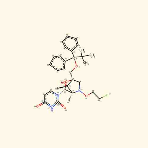 CC(C)(C)[Si](OC[C@@]12CN(OCCF)[C@@H]([C@H](n3ccc(=O)[nH]c3=O)O1)[C@@H]2O)(c1ccccc1)c1ccccc1